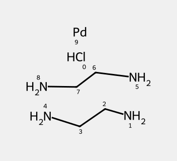 Cl.NCCN.NCCN.[Pd]